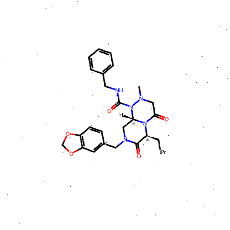 CC(C)C[C@H]1C(=O)N(Cc2ccc3c(c2)OCO3)C[C@H]2N1C(=O)CN(C)N2C(=O)NCc1ccccc1